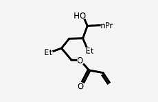 C=CC(=O)OCC(CC)CC(CC)C(O)CCC